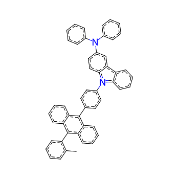 Cc1ccccc1-c1c2ccccc2c(-c2ccc(-n3c4ccccc4c4cc(N(c5ccccc5)c5ccccc5)ccc43)cc2)c2ccccc12